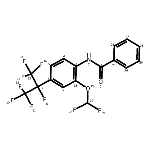 O=C(Nc1ccc(C(F)(C(F)(F)F)C(F)(F)F)cc1OC(F)F)c1ccccc1